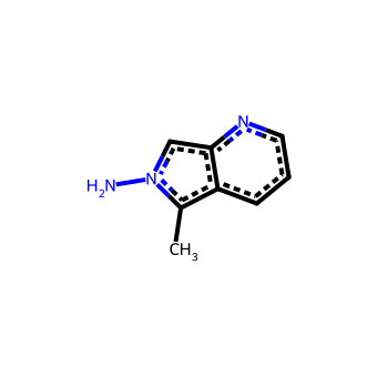 Cc1c2cccnc2cn1N